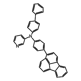 c1ccc(-c2ccc(N(c3ccc(-c4ccc5c6c(cccc46)-c4ccccc4-5)cc3)c3cccnc3)cc2)cc1